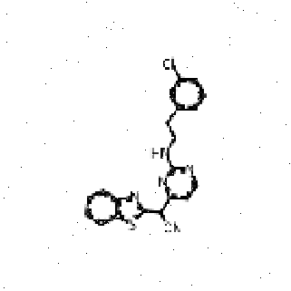 N#CC(c1ccnc(NCCc2cccc(Cl)c2)n1)c1nc2ccccc2s1